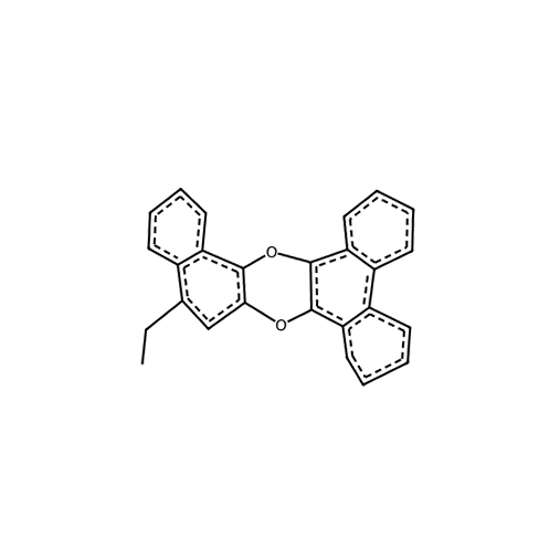 CCc1cc2c(c3ccccc13)Oc1c(c3ccccc3c3ccccc13)O2